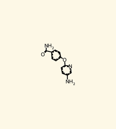 NC(=O)c1ccc(Oc2ccc(N)cn2)cc1